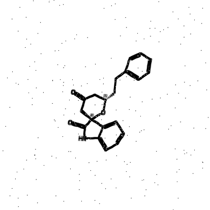 O=C1C[C@H](CCc2ccccc2)O[C@@]2(C1)C(=O)Nc1ccccc12